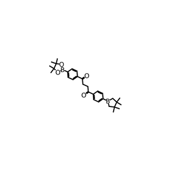 CC1(C)CB(c2ccc(C(=O)CCC(=O)c3ccc(B4OC(C)(C)C(C)(C)O4)cc3)cc2)CC1(C)C